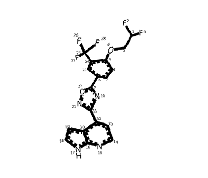 FC(F)COc1ccc(-c2nc(-c3ccnc4[nH]ccc34)no2)cc1C(F)(F)F